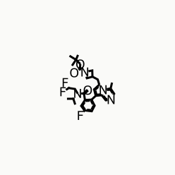 Cc1cncc2c(-c3ccc(F)cc3C(=O)N(CC(F)F)C(C)C)cc(CC3CN(C(=O)OC(C)(C)C)C3)n12